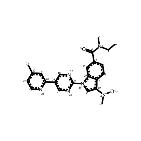 CCN(C)C(=O)c1ccc2c([S+](C)[O-])cn(-c3ncc(-c4cc(C)ccn4)cn3)c2c1